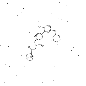 O=C1c2cc(-c3nc(NC4CCOCC4)ncc3Cl)ccc2CN1CC(=O)N1CC2CCC1CC2